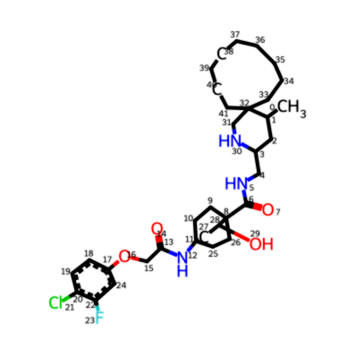 CC1CC(CNC(=O)C23CCC(NC(=O)COc4ccc(Cl)c(F)c4)(CC2)CC3O)NCC12CCCCCCCCC2